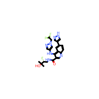 CC(C)(O)[C@H](F)CNC(=O)c1cnc2ccc(-c3cn[nH]c3)cc2c1Nc1cnn(CC(F)F)c1